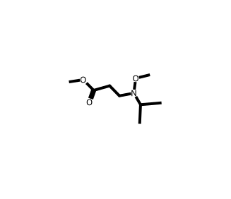 COC(=O)CCN(OC)C(C)C